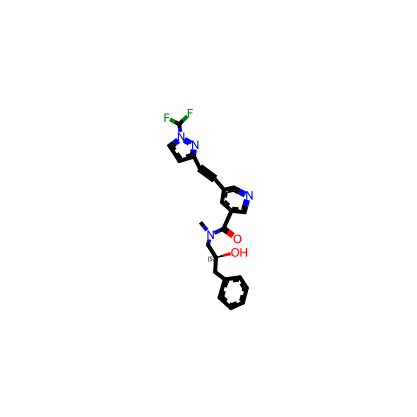 CN(C[C@@H](O)Cc1ccccc1)C(=O)c1cncc(C#Cc2ccn(C(F)F)n2)c1